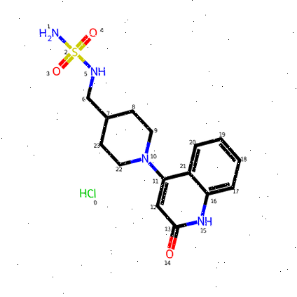 Cl.NS(=O)(=O)NCC1CCN(c2cc(=O)[nH]c3ccccc23)CC1